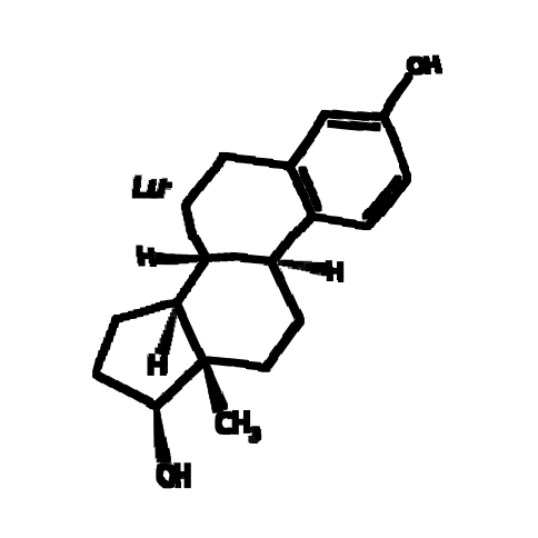 C[C@]12CC[C@@H]3c4ccc(O)cc4CC[C@H]3[C@@H]1CC[C@@H]2O.[Lu]